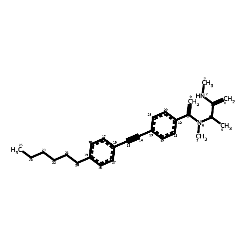 C=C(NC)C(C)N(C)C(=C)c1ccc(C#Cc2ccc(CCCCCC)cc2)cc1